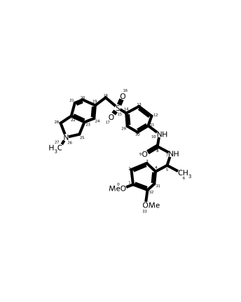 COc1ccc(C(C)NC(=O)Nc2ccc(S(=O)(=O)Cc3ccc4c(c3)CN(C)C4)cc2)cc1OC